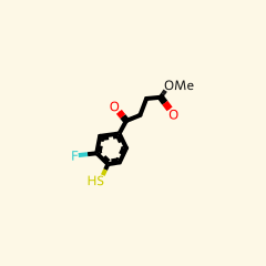 COC(=O)CCC(=O)c1ccc(S)c(F)c1